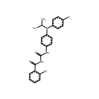 CC(C)N(c1ccc(Cl)cc1)c1ccc(NC(=O)NC(=O)c2ccccc2Cl)cc1